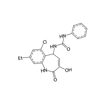 CCc1cc(Cl)c2c(c1)NC(=O)C(O)=CC2NC(=O)Nc1ccccc1